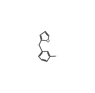 [CH2]c1cccc([CH]c2ccco2)c1